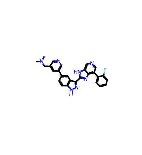 CN(C)Cc1cncc(-c2ccc3[nH]nc(-c4nc5c(-c6ccccc6F)cncc5[nH]4)c3c2)c1